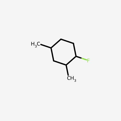 CC1CCC(F)C(C)C1